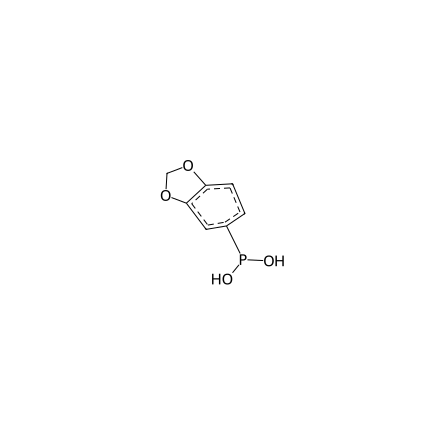 OP(O)c1ccc2c(c1)OCO2